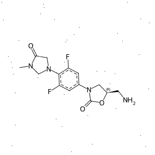 CN1CN(c2c(F)cc(N3C[C@@H](CN)OC3=O)cc2F)CC1=O